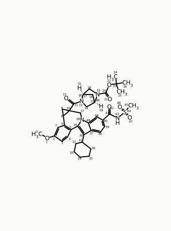 COc1ccc2c(c1)C1CC1(C(=O)N1C[C@H]3C[C@@H]1CN3C(=O)OC(C)(C)C)Cn1c-2c(C2CCCCC2)c2ccc(C(=O)NS(C)(=O)=O)cc21